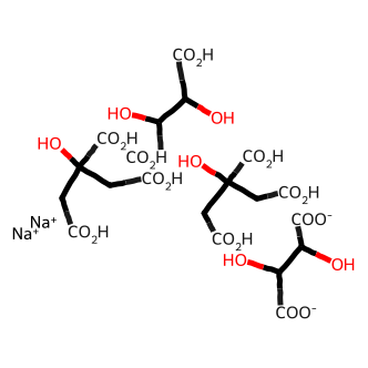 O=C(O)C(O)C(O)C(=O)O.O=C(O)CC(O)(CC(=O)O)C(=O)O.O=C(O)CC(O)(CC(=O)O)C(=O)O.O=C([O-])C(O)C(O)C(=O)[O-].[Na+].[Na+]